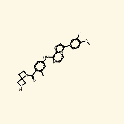 COc1ccc(-c2cnc3c(Nc4ccc(C(=O)N5CCC56CNC6)c(C)c4)nccn23)cc1F